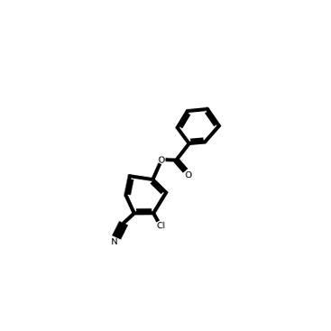 N#Cc1ccc(OC(=O)c2ccccc2)cc1Cl